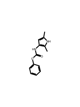 Cc1cc(NC(=O)Oc2ccccc2)c(C)[nH]1